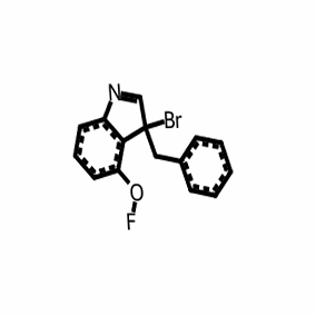 FOc1cccc2c1C(Br)(Cc1ccccc1)C=N2